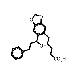 O=C(O)CCCCc1cc2c(cc1C(O)CCc1ccccc1)OCO2